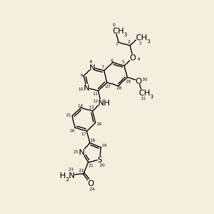 CCC(C)Oc1cc2ncnc(Nc3cccc(-c4csc(C(N)=O)n4)c3)c2cc1OC